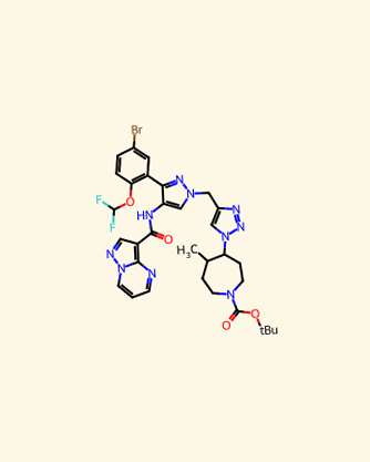 CC1CCN(C(=O)OC(C)(C)C)CCC1n1cc(Cn2cc(NC(=O)c3cnn4cccnc34)c(-c3cc(Br)ccc3OC(F)F)n2)nn1